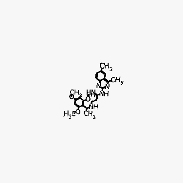 COc1cc(OC)c(C(C)NCCC(=N)Nc2nc(C)c3cc(C)ccc3n2)c(OC)c1